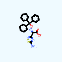 Nc1nc(C(=NOC(c2ccccc2)(c2ccccc2)c2ccccc2)C(=O)O)ns1